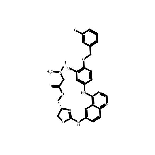 CN(C)CC(=O)OC[C@H]1COC(Nc2ccc3ncnc(Nc4ccc(OCc5cccc(F)c5)c(Cl)c4)c3c2)=N1